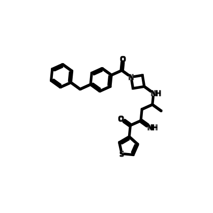 CC(CC(=N)C(=O)c1ccsc1)NC1CN(C(=O)c2ccc(Cc3ccccc3)cc2)C1